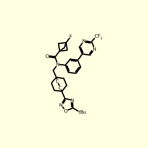 CC(C)(C)c1nc(C23CCC(CN(C(=O)C45CC(F)(C4)C5)c4cccc(-c5cnc(C(F)(F)F)nc5)c4)(CC2)CC3)no1